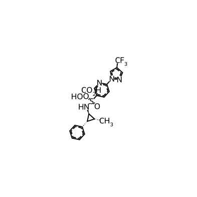 C[C@H]1[C@H](NS(=O)(=O)c2ccc(-n3cc(C(F)(F)F)cn3)nc2)[C@H]1c1ccccc1.O=C(O)O